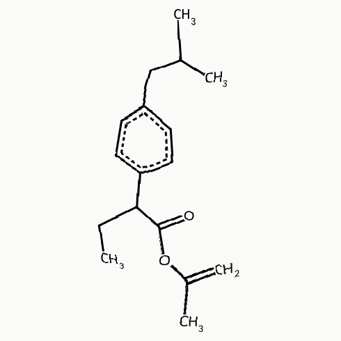 C=C(C)OC(=O)C(CC)c1ccc(CC(C)C)cc1